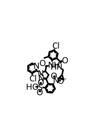 Cc1cc(Cl)cc(C(=O)NCC2CC2)c1NC(=O)C1CC(c2c([N+](=O)[O-])cccc2S(=O)(=O)O)=NN1c1ncccc1Cl